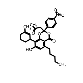 CCCCCc1cc(O)c(C2C=C(C)CCC2)c2c1C(=O)OC(CC(C)=O)(c1ccc([N+](=O)[O-])cc1)O2